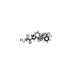 NNC(=O)c1cc2n(n1)CCCN(S(=O)(=O)c1ccccc1[N+](=O)[O-])C2=O